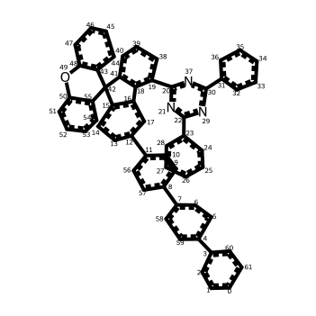 c1ccc(-c2ccc(-c3ccc(-c4ccc5c(c4)-c4c(-c6nc(-c7ccccc7)nc(-c7ccccc7)n6)cccc4C54c5ccccc5Oc5ccccc54)cc3)cc2)cc1